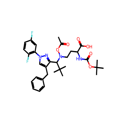 CC(=O)ON(CCC(NC(=O)OC(C)(C)C)C(=O)O)C(c1nn(-c2cc(F)ccc2F)cc1Cc1ccccc1)C(C)(C)C